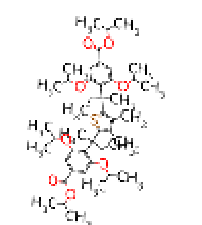 CCC(C)(c1sc(C(C)(CC)c2c(OC(C)C)cc(C(=O)OC(C)C)cc2OC(C)C)c(C)c1C)c1c(OC(C)C)cc(C(=O)OC(C)C)cc1OC(C)C